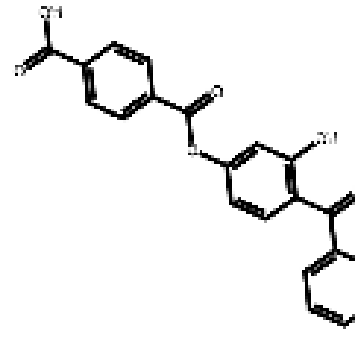 O=C(O)c1ccc(C(=O)Oc2ccc(C(=O)c3ccccc3)c(O)c2)cc1